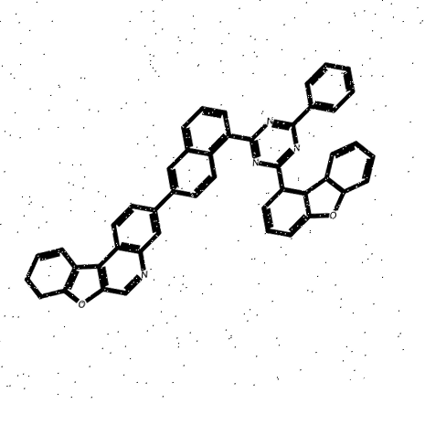 C1=CC2OC3=CC=CC(c4nc(-c5ccccc5)nc(-c5cccc6cc(-c7ccc8c(c7)ncc7oc9c(c78)C=CCC9)ccc56)n4)C3C2C=C1